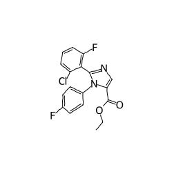 CCOC(=O)c1cnc(-c2c(F)cccc2Cl)n1-c1ccc(F)cc1